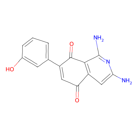 Nc1cc2c(c(N)n1)C(=O)C(c1cccc(O)c1)=CC2=O